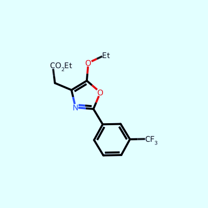 CCOC(=O)Cc1nc(-c2cccc(C(F)(F)F)c2)oc1OCC